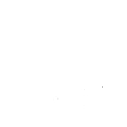 C#CCOc1ccc(C(=O)OC)c(OC)c1